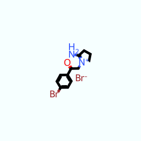 NC1=[N+](CC(=O)c2ccc(Br)cc2)CCC1.[Br-]